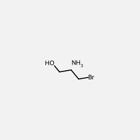 N.OCCCBr